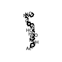 CC(=O)N1CCC(Nc2cc(C(=O)NC[C@H](O)CN3CCc4cc(OCc5cnnn5C5CCCCO5)ccc4C3)ncn2)CC1